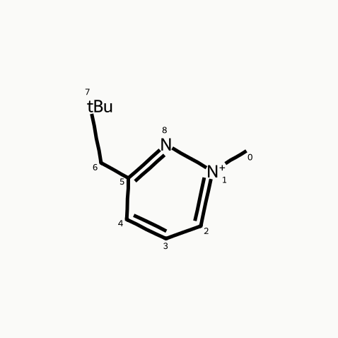 C[n+]1cccc(CC(C)(C)C)n1